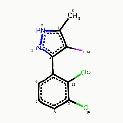 Cc1[nH]nc(-c2cccc(Cl)c2Cl)c1I